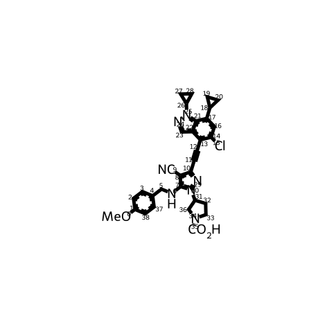 COc1ccc(CNc2c(C#N)c(C#Cc3c(Cl)cc(C4CC4)c4c3cnn4C3CC3)nn2C2CCN(C(=O)O)C2)cc1